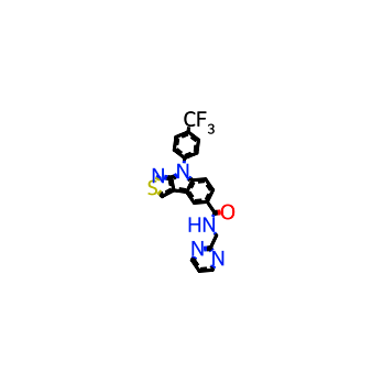 O=C(NCc1ncccn1)c1ccc2c(c1)c1csnc1n2-c1ccc(C(F)(F)F)cc1